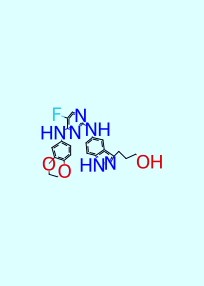 OCCCc1n[nH]c2ccc(Nc3ncc(F)c(Nc4ccc5c(c4)OCCO5)n3)cc12